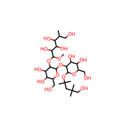 COC(OC1C(OC2C(OC(C)(C)CC(C)(C)CO)OC(CO)C(O)C2O)OC(CO)C(O)C1O)C(O)C(O)C(O)C(C)CO